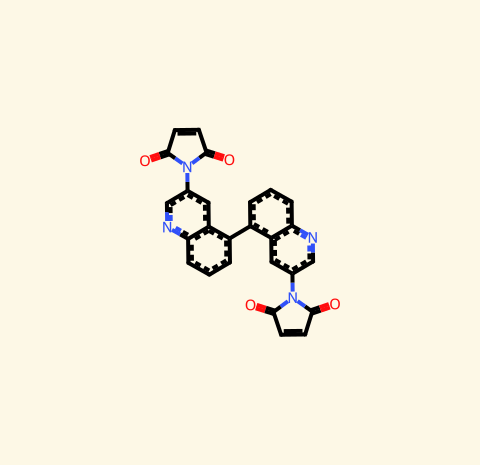 O=C1C=CC(=O)N1c1cnc2cccc(-c3cccc4ncc(N5C(=O)C=CC5=O)cc34)c2c1